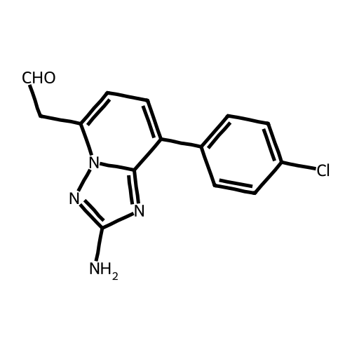 Nc1nc2c(-c3ccc(Cl)cc3)ccc(CC=O)n2n1